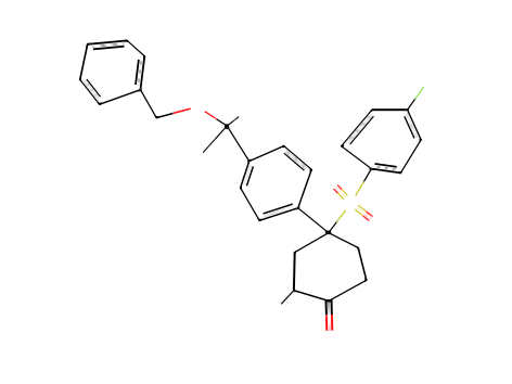 CC1CC(c2ccc(C(OCc3ccccc3)(C(F)(F)F)C(F)(F)F)cc2)(S(=O)(=O)c2ccc(F)cc2)CCC1=O